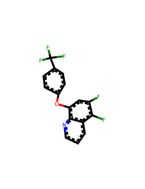 Fc1cc(Oc2ccc(C(F)(F)F)cc2)c2ncccc2c1F